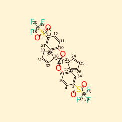 O=S(=O)(c1ccc([O][Zr]([O]c2ccc(S(=O)(=O)C(F)(F)F)cc2)([CH]2C=CC=C2)[CH]2C=CC=C2)cc1)C(F)(F)F